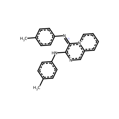 Cc1ccc(/N=c2\c(Nc3ccc(C)cc3)ncc3ccccn23)cc1